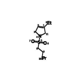 CCC1=CCN(S(=O)(=O)CCC(C)C)C1